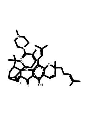 CC(C)=CCCC1(C)C=Cc2c(O)c3c(c(CC=C(C)C)c2O1)OC12C(=CC4CC1C(C)(C)OC2(C/C=C(/C)C(=O)N1CCN(C)CC1)C4=O)C3=O